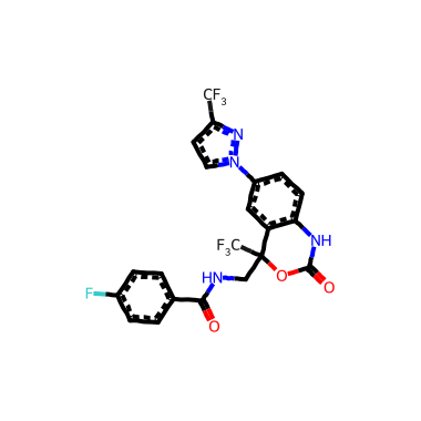 O=C1Nc2ccc(-n3ccc(C(F)(F)F)n3)cc2C(CNC(=O)c2ccc(F)cc2)(C(F)(F)F)O1